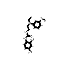 CCN(CCOC(=O)Oc1ccc(Cl)cc1Cl)c1cccc(OC)c1